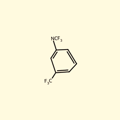 FC(F)(F)Nc1cccc(C(F)(F)F)c1